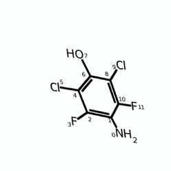 Nc1c(F)c(Cl)c(O)c(Cl)c1F